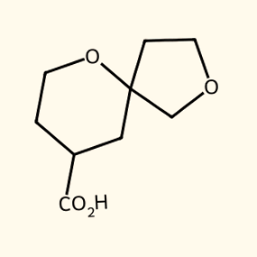 O=C(O)C1CCOC2(CCOC2)C1